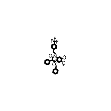 COc1ccc(N(CCc2ccc(C(F)(F)F)cc2)C(=O)C(C(=O)OCc2ccccc2)c2ccccc2)cc1OC